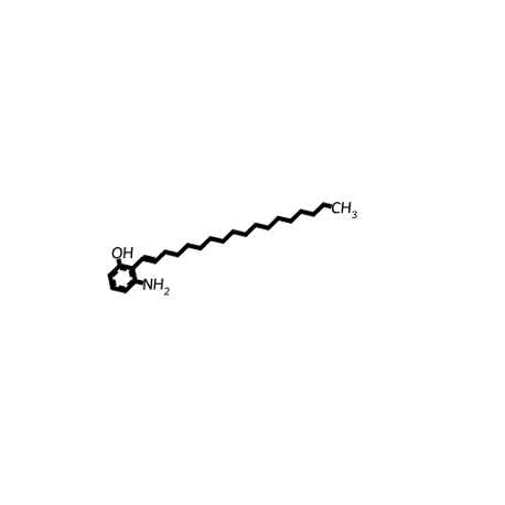 CCCCCCCCCCCCCCCC/C=C/c1c(N)cccc1O